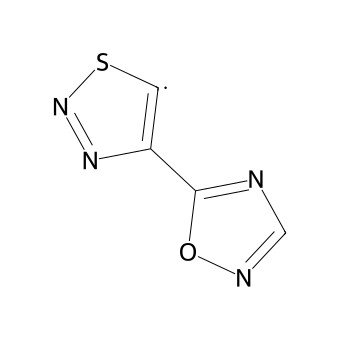 [c]1snnc1-c1ncno1